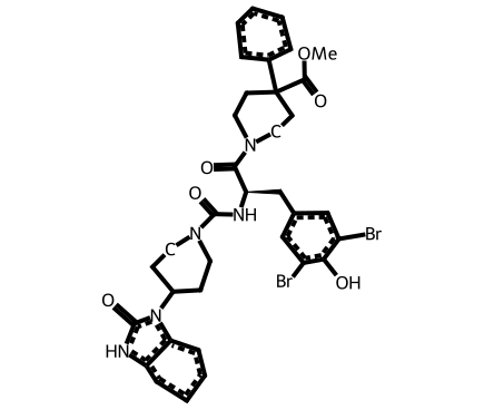 COC(=O)C1(c2ccccc2)CCN(C(=O)[C@@H](Cc2cc(Br)c(O)c(Br)c2)NC(=O)N2CCC(n3c(=O)[nH]c4ccccc43)CC2)CC1